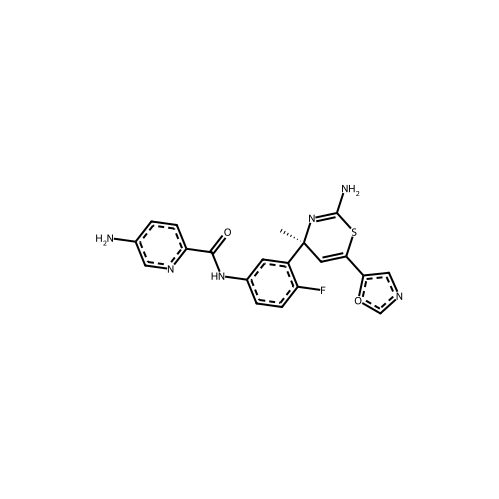 C[C@@]1(c2cc(NC(=O)c3ccc(N)cn3)ccc2F)C=C(c2cnco2)SC(N)=N1